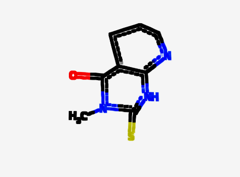 Cn1c(=S)[nH]c2ncccc2c1=O